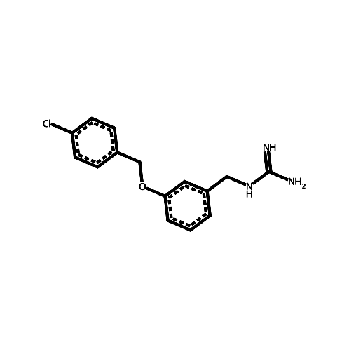 N=C(N)NCc1cccc(OCc2ccc(Cl)cc2)c1